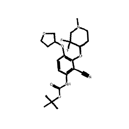 CN1CCC(Oc2c(OC3CCOC3)ccc(NC(=O)OC(C)(C)C)c2C#N)C(F)(F)C1